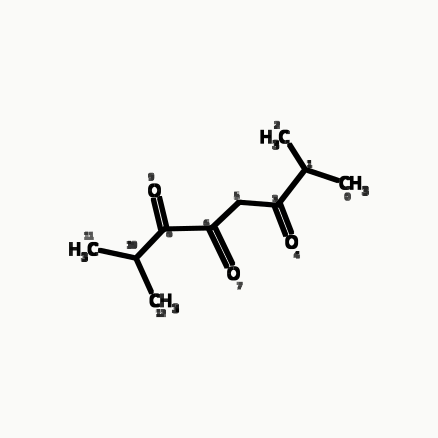 CC(C)C(=O)CC(=O)C(=O)C(C)C